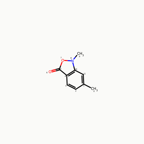 Cc1ccc2c(=O)on(C)c2c1